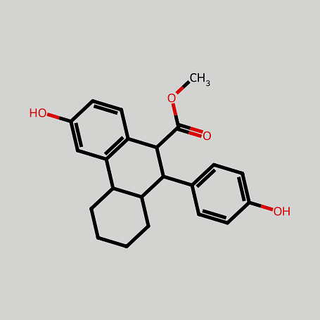 COC(=O)C1c2ccc(O)cc2C2CCCCC2C1c1ccc(O)cc1